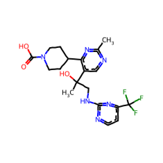 Cc1ncc(C(C)(O)CNc2nccc(C(F)(F)F)n2)c(C2CCN(C(=O)O)CC2)n1